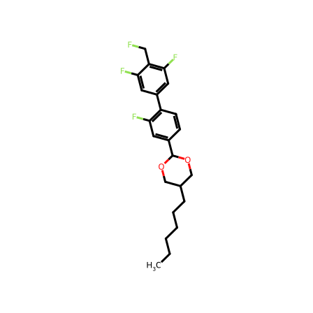 CCCCCCC1COC(c2ccc(-c3cc(F)c(CF)c(F)c3)c(F)c2)OC1